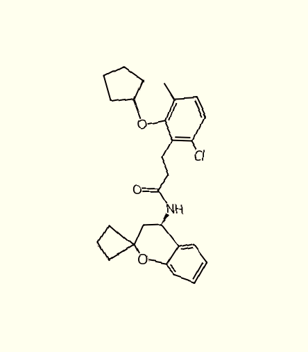 Cc1ccc(Cl)c(CCC(=O)N[C@@H]2CC3(CCC3)Oc3ccccc32)c1OC1CCCC1